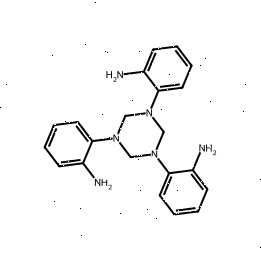 Nc1ccccc1N1CN(c2ccccc2N)CN(c2ccccc2N)C1